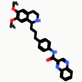 COc1cc2c(cc1OC)C(CCCc1ccc(NC(=O)c3cnc4ccccc4n3)cc1)NCC2